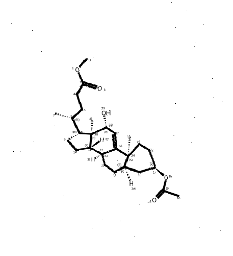 COC(=O)CC[C@@H](C)[C@H]1CC[C@H]2[C@@H]3CC[C@@H]4C[C@H](OC(C)=O)CC[C@]4(C)C3=C[C@@H](O)[C@]12C